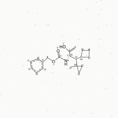 C=C(O)[C@@H](NC(=O)OCc1ccccc1)C(C1CCC1)C1(C)CC1